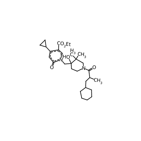 CCOC(=O)c1cn(CC2(O)CCN(C(=O)C(C)CC3CCCCC3)CC2(C)C)c(=O)cc1C1CC1